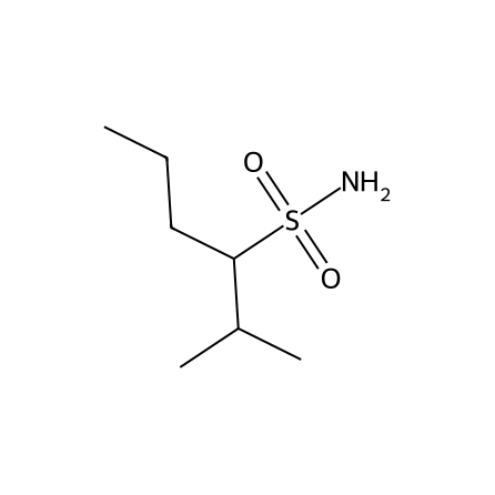 CCCC(C(C)C)S(N)(=O)=O